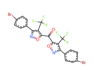 O=C(c1onc(-c2ccc(Br)cc2)c1C(F)(F)F)c1onc(-c2ccc(Br)cc2)c1C(F)(F)F